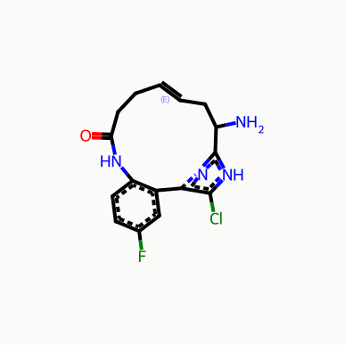 NC1C/C=C/CCC(=O)Nc2ccc(F)cc2-c2nc1[nH]c2Cl